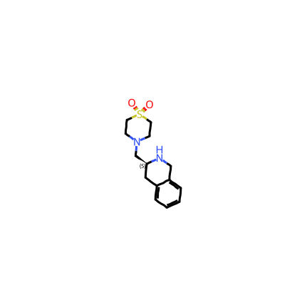 O=S1(=O)CCN(C[C@@H]2Cc3ccccc3CN2)CC1